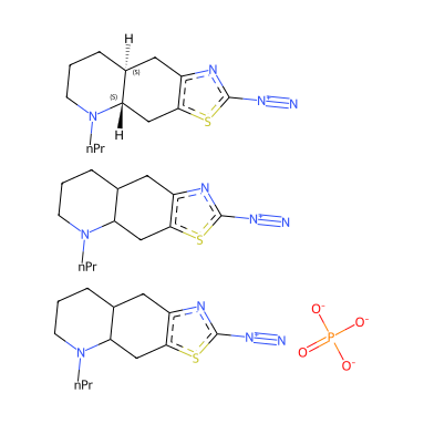 CCCN1CCCC2Cc3nc([N+]#N)sc3CC21.CCCN1CCCC2Cc3nc([N+]#N)sc3CC21.CCCN1CCC[C@H]2Cc3nc([N+]#N)sc3C[C@@H]21.O=P([O-])([O-])[O-]